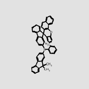 Cc1ccccc1N(c1ccc2c(c1)C(C)(C)c1ccccc1-2)c1ccc2c(c1)C1(c3ccccc3Oc3c1ccc1ccccc31)c1ccccc1-2